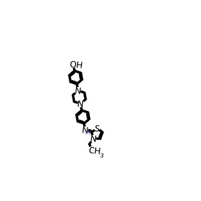 CCn1ccs/c1=N\c1ccc(N2CCN(c3ccc(O)cc3)CC2)cc1